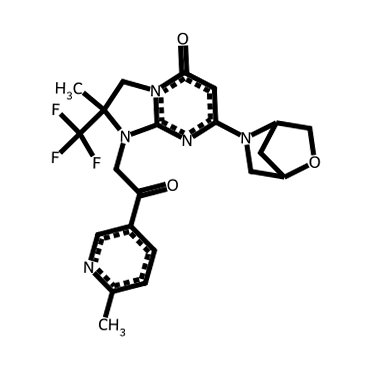 Cc1ccc(C(=O)CN2c3nc(N4CC5CC4CO5)cc(=O)n3CC2(C)C(F)(F)F)cn1